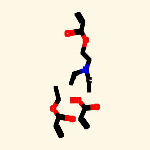 C=CC(=O)O.C=CC(=O)OCC.C=CC(=O)OCCN(CC)CC